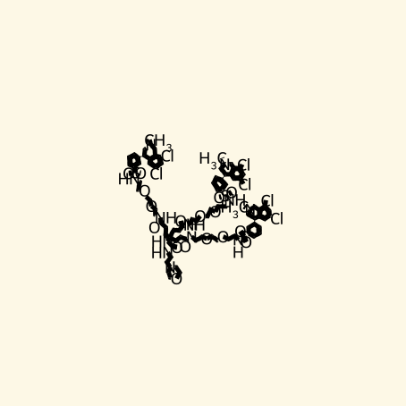 CN1Cc2c(Cl)cc(Cl)cc2[C@H](c2cccc(S(=O)(=O)NCCOCCOCCNC(=O)CCC(CCC(=O)NCCOCCOCCNS(=O)(=O)C3=CC=CC([C@@H]4CN(C)Cc5c(Cl)cc(Cl)cc54)C3)(CCC(=O)NCCOCCOCCNS(=O)(=O)c3cccc([C@@H]4CN(C)Cc5c(Cl)cc(Cl)cc54)c3)NC(=O)NCCN3CCOCC3)c2)C1